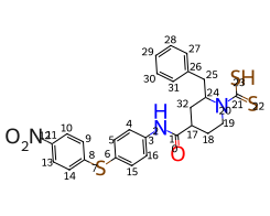 O=C(Nc1ccc(Sc2ccc([N+](=O)[O-])cc2)cc1)C1CCN(C(=S)S)C(Cc2ccccc2)C1